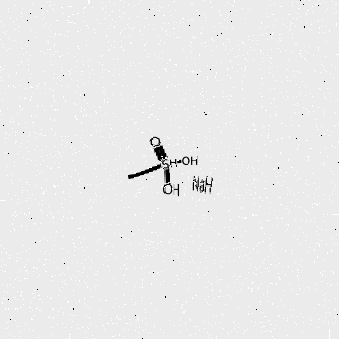 C[SH](=O)(O)O.[NaH]